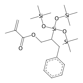 C=C(C)C(=O)OCC(Cc1ccccc1)[Si](O[Si](C)(C)C)(O[Si](C)(C)C)O[Si](C)(C)C